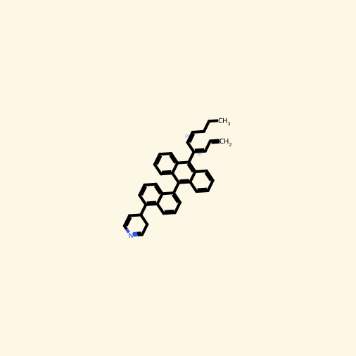 C=C/C=C(\C=C/CCC)c1c2ccccc2c(-c2cccc3c(C4C=CN=CC4)cccc23)c2ccccc12